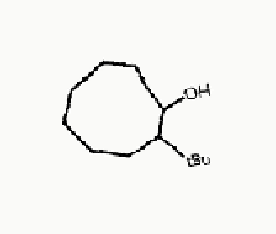 CC(C)(C)C1CCCCCCC1O